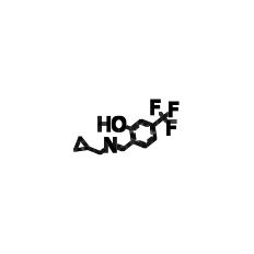 Oc1cc(C(F)(F)F)ccc1/C=N/CC1CC1